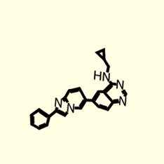 c1ccc(-c2cn3cc(-c4ccc5ncnc(NCC6CC6)c5c4)ccc3n2)cc1